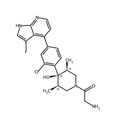 C[C@@H]1CN(C(=O)CN)C[C@H](C)[C@@]1(O)c1ccc(-c2ccnc3[nH]cc(F)c23)cc1Cl